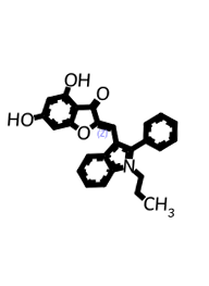 CCCn1c(-c2ccccc2)c(/C=C2\Oc3cc(O)cc(O)c3C2=O)c2ccccc21